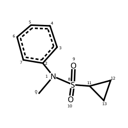 [CH2]N(c1ccccc1)S(=O)(=O)C1CC1